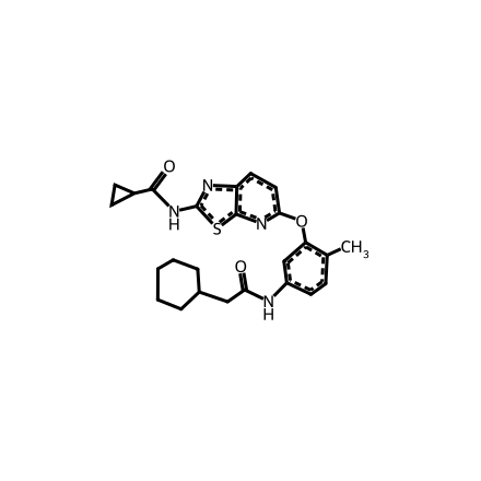 Cc1ccc(NC(=O)CC2CCCCC2)cc1Oc1ccc2nc(NC(=O)C3CC3)sc2n1